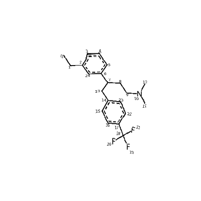 CCc1cccc(C(CCN(C)C)Cc2ccc(C(F)(F)F)cc2)c1